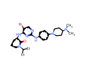 CCC(CC)n1cccc(Nc2nc(Nc3ccc(N4CCC(N(C)C)CC4)cc3)ncc2Br)c1=O